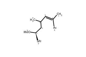 CCC[C@H](CC(C)/C=C(/C)C(C)=O)OC